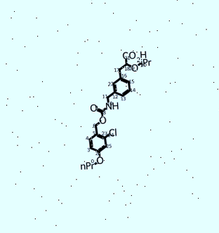 CCCOc1ccc(COC(=O)NCc2cccc(CC(OC(C)C)C(=O)O)c2)c(Cl)c1